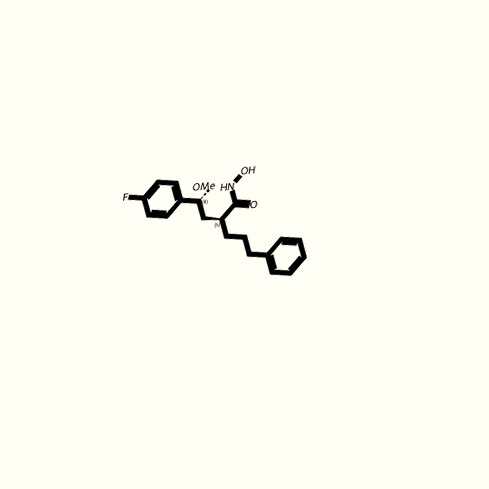 CO[C@H](C[C@H](CCCc1ccccc1)C(=O)NO)c1ccc(F)cc1